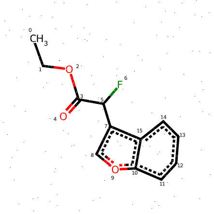 CCOC(=O)C(F)c1coc2ccccc12